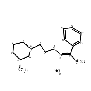 CCCCCCCC(=NOCCN1CCC[C@@H](C(=O)O)C1)c1ccccc1.Cl